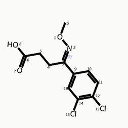 CO/N=C(\CCC(=O)O)c1ccc(Cl)c(Cl)c1